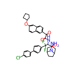 NC1CC2CCC(C1)N2C(=O)C(NC(=O)C(=O)c1ccc2cc(OC3CCCC3)ccc2c1)C(F)(F)c1ccc(-c2ccc(Cl)cc2)cc1